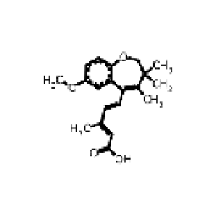 COc1ccc2c(c1)C(C=CC(C)=CC(=O)O)=C(C)C(C)(C)CO2